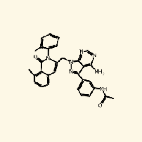 CC(=O)Nc1cccc(-c2nn(Cc3cc4cccc(C)c4c(=O)n3-c3ccccc3C)c3ncnc(N)c23)c1